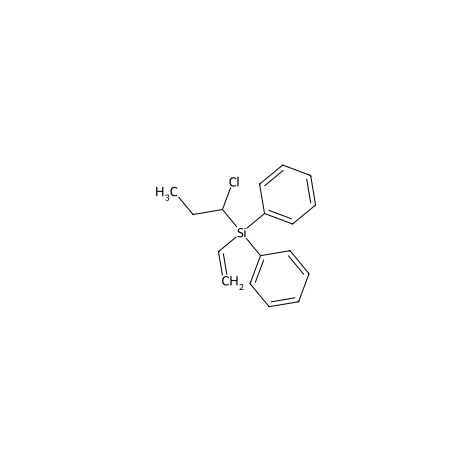 C=C[Si](c1ccccc1)(c1ccccc1)C(Cl)CC